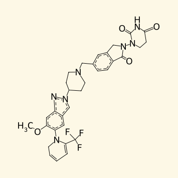 COc1cc2nn(C3CCN(Cc4ccc5c(c4)CN(N4CCC(=O)NC4=O)C5=O)CC3)cc2cc1N1CC=CC=C1C(F)(F)F